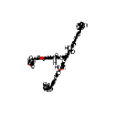 O=C(CCOC=C(COCCC(=O)NCCOCCOCCOCCC(=O)ON1C(=O)CCC1=O)COCCC(=O)NCCOCCOCCOCCC(=O)ON1C(=O)CCC1=O)NCCOCCOCCOCCC(=O)ON1C(=O)CCC1=O